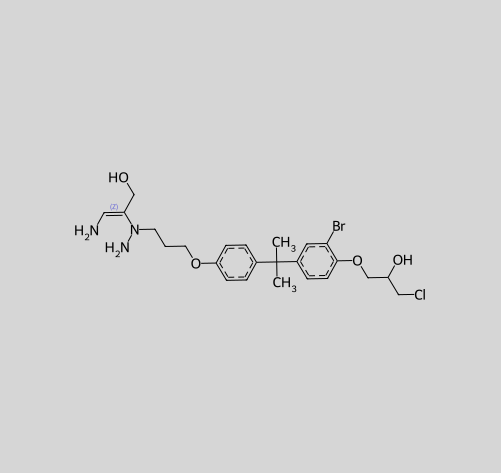 CC(C)(c1ccc(OCCCN(N)/C(=C\N)CO)cc1)c1ccc(OCC(O)CCl)c(Br)c1